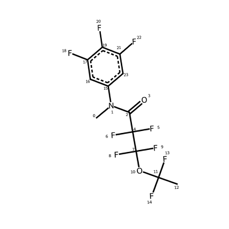 CN(C(=O)C(F)(F)C(F)(F)OC(C)(F)F)c1cc(F)c(F)c(F)c1